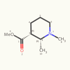 COC(=O)[C@@H]1CCCN(C)[C@@H]1C